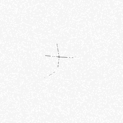 CC(C)C(C)(C)O[O]